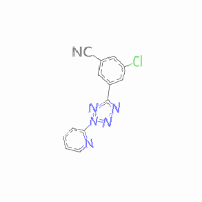 N#Cc1cc(Cl)cc(-c2nnn(-c3ccccn3)n2)c1